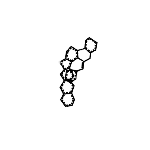 C(=C1\Cc2ccccc2-c2ccc3oc4cc5cc6ccccc6cc5cc4c3c21)/c1ccccc1